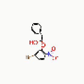 O=[N+]([O-])c1ccc(Br)cc1OC(O)Cc1ccccc1